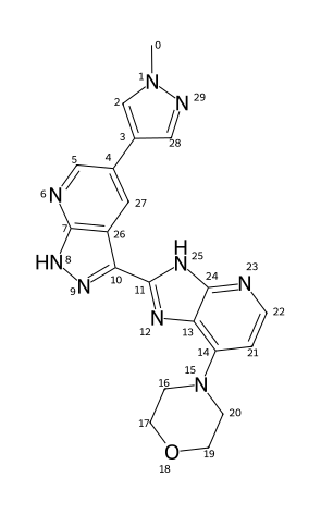 Cn1cc(-c2cnc3[nH]nc(-c4nc5c(N6CCOCC6)ccnc5[nH]4)c3c2)cn1